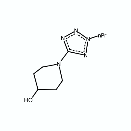 CCCn1nnc(N2CCC(O)CC2)n1